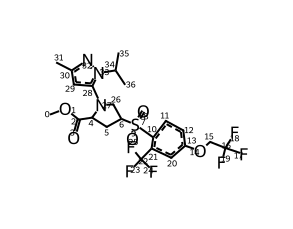 COC(=O)C1CC(S(=O)(=O)c2ccc(OCC(F)(F)F)cc2C(F)(F)F)CN1c1cc(C)nn1C(C)C